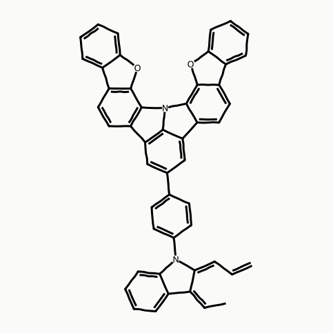 C=C/C=c1\c(=C/C)c2ccccc2n1-c1ccc(-c2cc3c4ccc5c6ccccc6oc5c4n4c3c(c2)c2ccc3c5ccccc5oc3c24)cc1